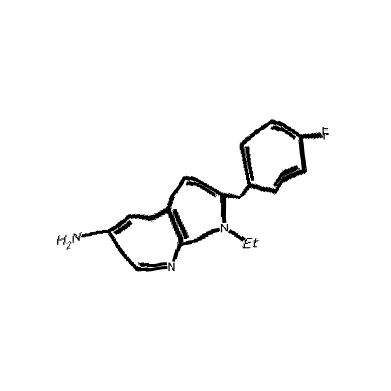 CCn1c(-c2ccc(F)cc2)cc2cc(N)cnc21